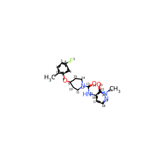 Cc1ccc(F)cc1OC1CCN(C(=O)Nc2ccnn(C)c2=O)CC1